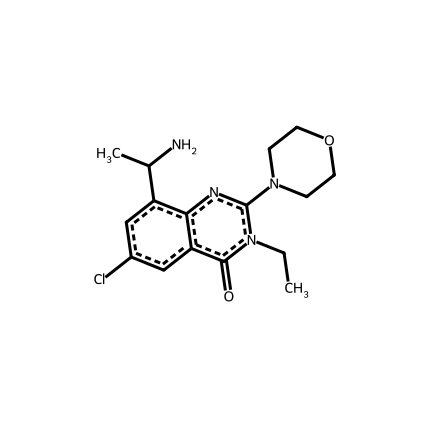 CCn1c(N2CCOCC2)nc2c(C(C)N)cc(Cl)cc2c1=O